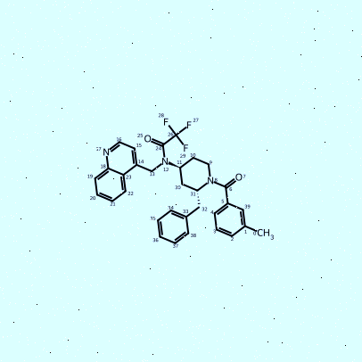 Cc1cccc(C(=O)N2CC[C@H](N(Cc3ccnc4ccccc34)C(=O)C(F)(F)F)C[C@H]2Cc2ccccc2)c1